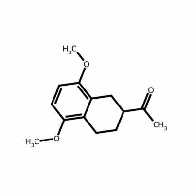 COc1ccc(OC)c2c1CCC(C(C)=O)C2